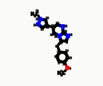 COc1ccc(Cc2cnc3ncc(-c4cnn(C)c4)cn23)cc1